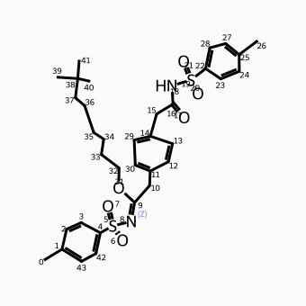 Cc1ccc(S(=O)(=O)/N=C(/Cc2ccc(CC(=O)NS(=O)(=O)c3ccc(C)cc3)cc2)OCCCCCCC(C)(C)C)cc1